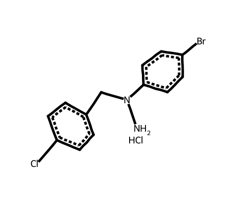 Cl.NN(Cc1ccc(Cl)cc1)c1ccc(Br)cc1